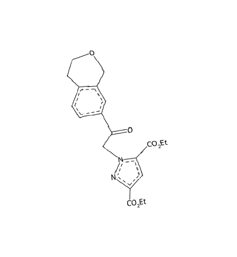 CCOC(=O)c1cc(C(=O)OCC)n(CC(=O)c2ccc3c(c2)COCC3)n1